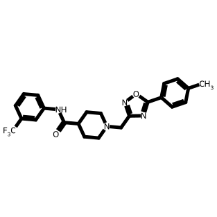 Cc1ccc(-c2nc(CN3CCC(C(=O)Nc4cccc(C(F)(F)F)c4)CC3)no2)cc1